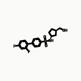 O=S(=O)(N[C@@H]1CC[C@@H](CO)C1)c1ccc(-c2ccc(F)cc2F)cc1